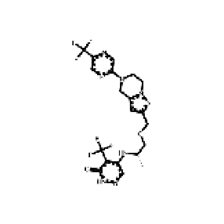 C[C@@H](COCc1cc2n(n1)CCN(c1cnc(C(F)(F)F)cn1)C2)Nc1cn[nH]c(=O)c1C(F)(F)F